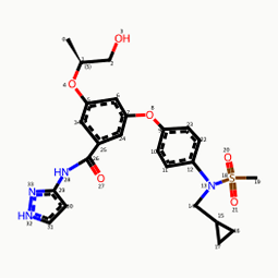 C[C@@H](CO)Oc1cc(Oc2ccc(N(CC3CC3)S(C)(=O)=O)cc2)cc(C(=O)Nc2cc[nH]n2)c1